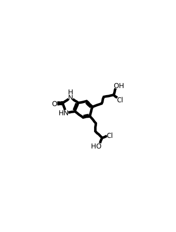 O=c1[nH]c2cc(CCC(O)Cl)c(CCC(O)Cl)cc2[nH]1